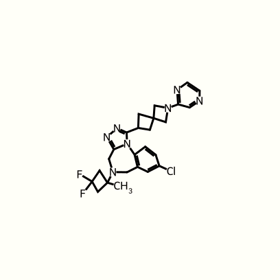 CC1(N2Cc3cc(Cl)ccc3-n3c(nnc3C3CC4(C3)CN(c3cnccn3)C4)C2)CC(F)(F)C1